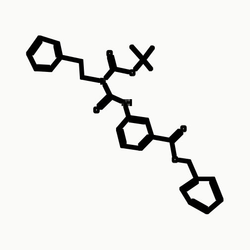 CC(C)(C)OC(=O)N(CCc1ccccc1)C(=O)Nc1cccc(C(=O)OCc2ccccc2)c1